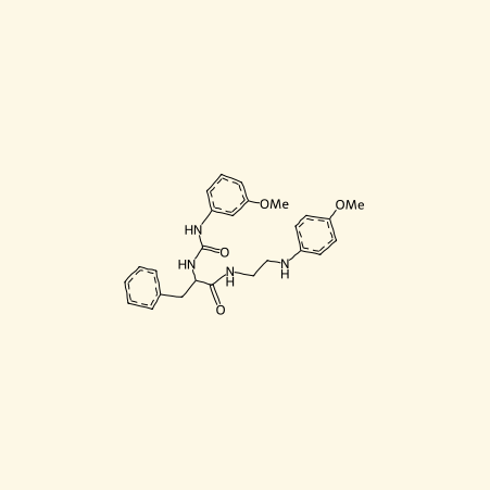 COc1ccc(NCCNC(=O)C(Cc2ccccc2)NC(=O)Nc2cccc(OC)c2)cc1